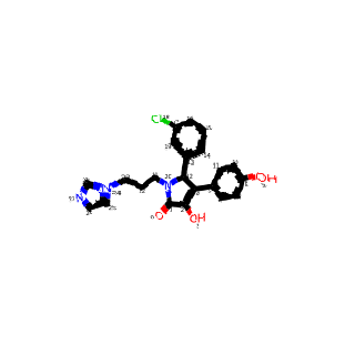 O=C1C(O)=C(c2ccc(O)cc2)C(c2cccc(Cl)c2)N1CCCn1ccnc1